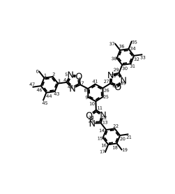 Cc1cc(-c2noc(-c3cc(-c4nc(-c5cc(C)c(C)c(C)c5)no4)cc(-c4nc(-c5cc(C)c(C)c(C)c5)no4)c3)n2)cc(C)c1C